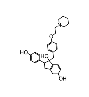 Oc1ccc(C2Cc3cc(O)ccc3C2(O)Cc2ccc(OCCN3CCCCC3)cc2)cc1